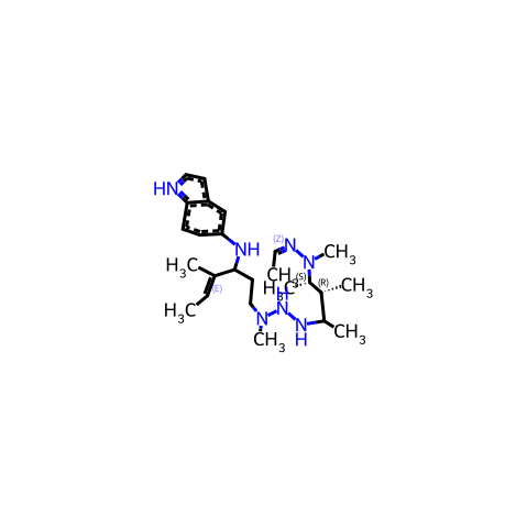 C/C=N\N(C)[C@@H](C)[C@H](C)C(C)NNN(C)CCC(Nc1ccc2[nH]ccc2c1)/C(C)=C/C